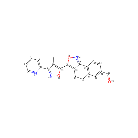 Cc1c(-c2ccccn2)noc1-c1onc2c1CCc1cc(C=O)ccc1-2